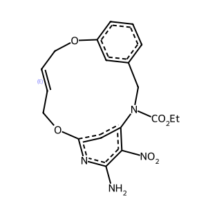 CCOC(=O)N1Cc2cccc(c2)OC/C=C/COc2cc1c([N+](=O)[O-])c(N)n2